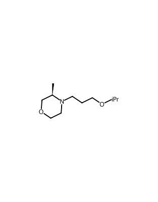 CC(C)OCCCN1CCOC[C@H]1C